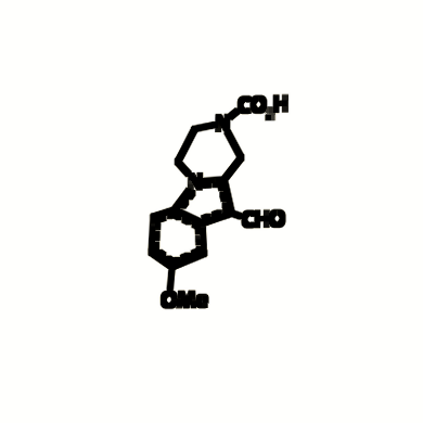 COc1ccc2c(c1)c(C=O)c1n2CCN(C(=O)O)C1